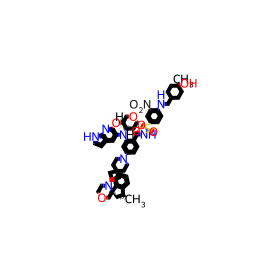 C[C@H]1C[C@]2(COCCN2C2CC3(CCN(c4ccc(C(=O)NS(=O)(=O)c5ccc(NCC6CCC(C)(O)CC6)c([N+](=O)[O-])c5)c(N5c6cc7cc[nH]c7nc6O[C@H]6COCC[C@@H]65)c4)CC3)C2)c2ccccc21